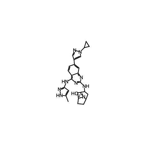 Cc1cc(Nc2nc(NC3CC4CCC(C3)N4C(=O)O)nc3cc(-c4cnn(C5CC5)c4)ccc23)n[nH]1